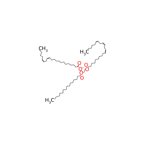 CCCCC/C=C\C/C=C\C/C=C\CCCCCCCCC(=O)O[C@@H](COC(=O)CCCCCCCCCCC/C=C\C/C=C\CCCCC)COC(=O)CCCCCCCCCCCCCCC